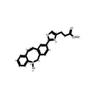 COC(=O)CCc1coc(-c2ccc3c(c2)/C=C\c2ccccc2N(C(C)=O)C3)n1